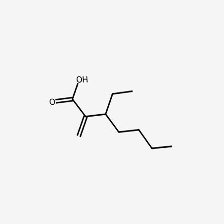 C=C(C(=O)O)C(CC)CCCC